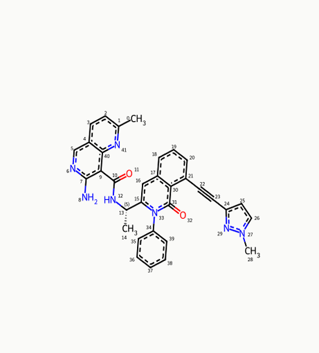 Cc1ccc2cnc(N)c(C(=O)N[C@@H](C)c3cc4cccc(C#Cc5ccn(C)n5)c4c(=O)n3-c3ccccc3)c2n1